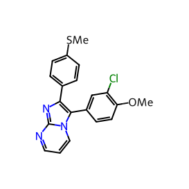 COc1ccc(-c2c(-c3ccc(SC)cc3)nc3ncccn23)cc1Cl